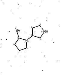 CC(C)C1CCCN1C1CCNC1